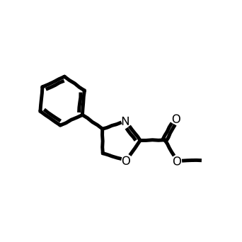 COC(=O)C1=NC(c2ccccc2)CO1